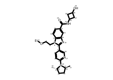 CCOCCn1c(-c2ccc(N3[C@@H](C)CC[C@@H]3C)nc2)nc2cc(C(=O)NC3CC(O)C3)ccc21